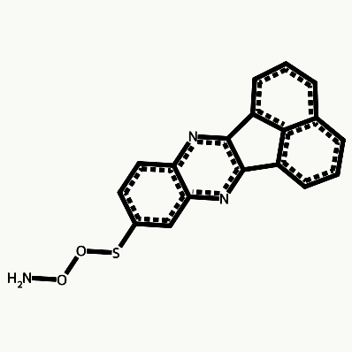 NOOSc1ccc2nc3c(nc2c1)-c1cccc2cccc-3c12